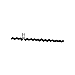 CCCCCCCCCCCCCCCCCCCCCCNCCCCCCC